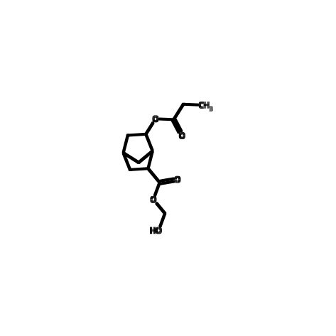 CCC(=O)OC1CC2CC(C(=O)OCO)C1C2